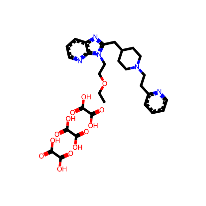 CCOCCn1c(CC2CCN(CCc3ccccn3)CC2)nc2cccnc21.O=C(O)C(=O)O.O=C(O)C(=O)O.O=C(O)C(=O)O